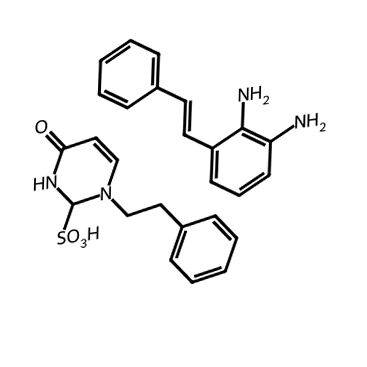 Nc1cccc(C=Cc2ccccc2)c1N.O=C1C=CN(CCc2ccccc2)C(S(=O)(=O)O)N1